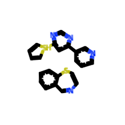 C1=CSc2ccccc2C=N1.C1=C[SH](c2cc(-c3cccnc3)ncn2)C=C1